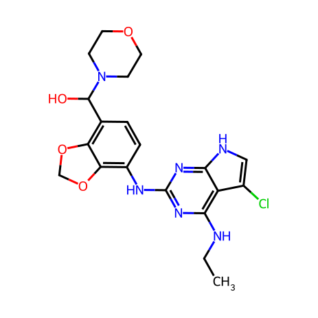 CCNc1nc(Nc2ccc(C(O)N3CCOCC3)c3c2OCO3)nc2[nH]cc(Cl)c12